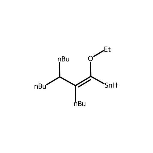 CCCCC(=[C]([SnH])OCC)C(CCCC)CCCC